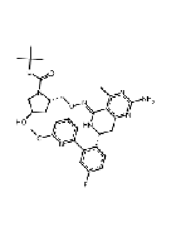 COc1cccc(-c2cc(F)ccc2[C@H]2Cc3nc(N)nc(C)c3/C(=N/OC[C@@H]3C[C@@H](O)CN3C(=O)OC(C)(C)C)N2)n1